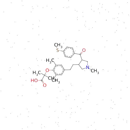 CSc1ccc(C(=O)C2CN(C)CC2CCc2cc(C)c(OC(C)(C)C(=O)O)c(C)c2)cc1